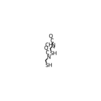 C.O=C=NCS.O=C=NCS